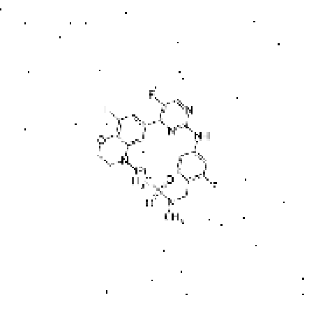 CC(C)N1CCOc2c(F)cc(-c3nc(Nc4ccc(CN(C)S(C)(=O)=O)c(F)c4)ncc3F)cc21